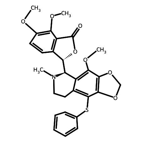 COc1ccc2c(c1OC)C(=O)O[C@@H]2[C@H]1c2c(c(Sc3ccccc3)c3c(c2OC)OCO3)CCN1C